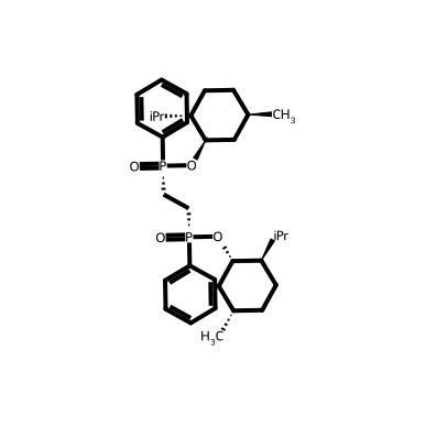 CC(C)[C@H]1CC[C@H](C)C[C@@H]1O[P@@](=O)(CC[P@@](=O)(O[C@@H]1C[C@H](C)CC[C@H]1C(C)C)c1ccccc1)c1ccccc1